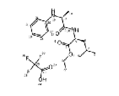 CCOC(=O)[C@H](CC(C)C)NC(=O)[C@H](C)Nc1ccccc1.O=C(O)C(F)(F)F